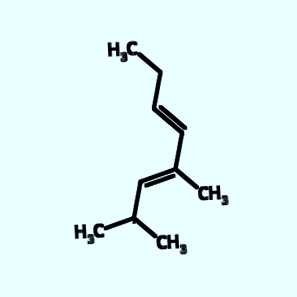 CCC=CC(C)=C[C](C)C